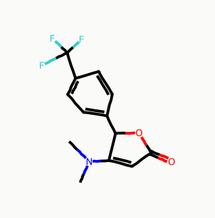 CN(C)C1=CC(=O)OC1c1ccc(C(F)(F)F)cc1